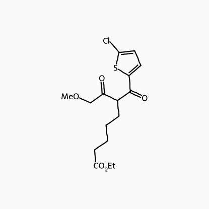 CCOC(=O)CCCCC(C(=O)COC)C(=O)c1ccc(Cl)s1